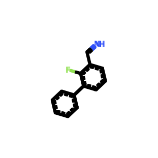 N=Cc1cccc(-c2ccccc2)c1F